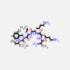 C=CC[C@H](NC(=O)[C@H](CCCCN)NC(=O)[C@H](CCCCN)NC(=O)[C@H](C)N)C(=O)N(Cc1ccccc1CC)C(=O)N[C@@H](CC(C)C)C(=O)O